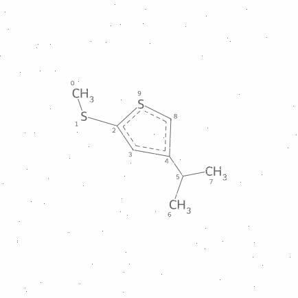 CSc1cc(C(C)C)cs1